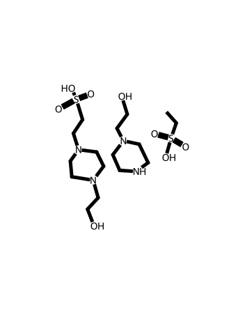 CCS(=O)(=O)O.O=S(=O)(O)CCN1CCN(CCO)CC1.OCCN1CCNCC1